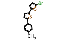 Cc1ccc(-c2ccc(-c3ccc(Br)s3)s2)cc1